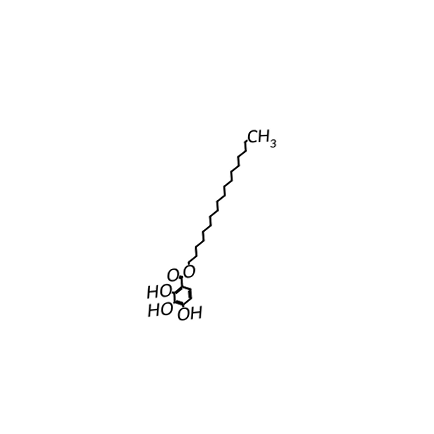 CCCCCCCCCCCCCCCCCCOC(=O)c1ccc(O)c(O)c1O